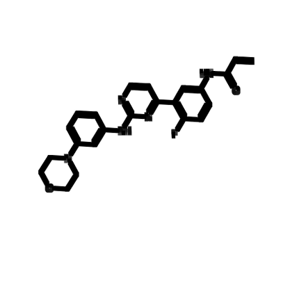 C=CC(=O)Nc1ccc(F)c(-c2ccnc(Nc3cccc(N4CCOCC4)c3)n2)c1